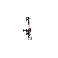 Cc1ncsc1-c1ccc([C@]2(C)NC([C@@H]3C[C@@H](O)CN3C(=O)C(NC(=O)CCCCCCCCCCNC(=O)O)C(C)(C)C)=NC2=O)cc1